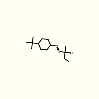 CCC(C)(Cl)/N=N/C1CCC(C(C)(C)C)CC1